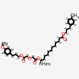 CCCCCC[C@H](CCCCCCCCCCC(=O)OCCCc1ccc(C)cc1)OC(=O)COCC(=O)OCCCc1ccc(OC#N)cc1